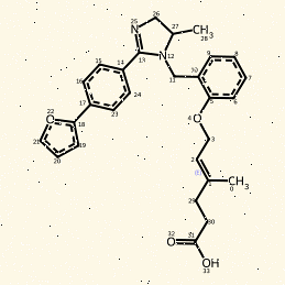 C/C(=C\COc1ccccc1CN1C(c2ccc(-c3ccco3)cc2)=NCC1C)CCC(=O)O